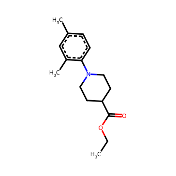 CCOC(=O)C1CCN(c2ccc(C)cc2C)CC1